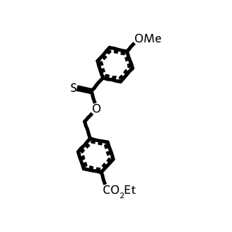 CCOC(=O)c1ccc(COC(=S)c2ccc(OC)cc2)cc1